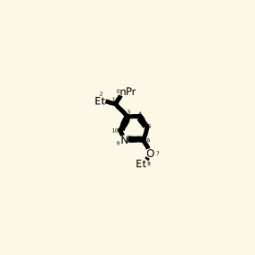 CCCC(CC)c1ccc(OCC)nc1